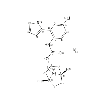 C[N+]1(C)[C@@H]2CC[C@H]1C[C@@H](OC(=O)Nc1ccc(Cl)cc1-c1cccs1)C2.[Br-]